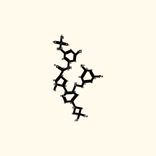 CCS(=O)(=O)Nc1cc(Cl)cc(NC(=O)c2cc(-c3ncc(N4CC(F)(F)C4)cc3OCc3cc(F)cc(F)c3)n(C)c2)c1